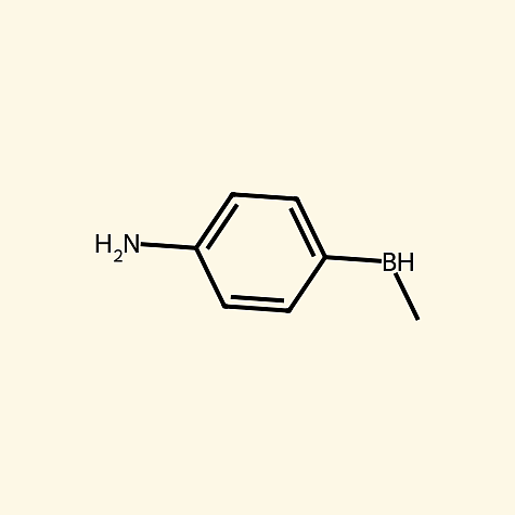 CBc1ccc(N)cc1